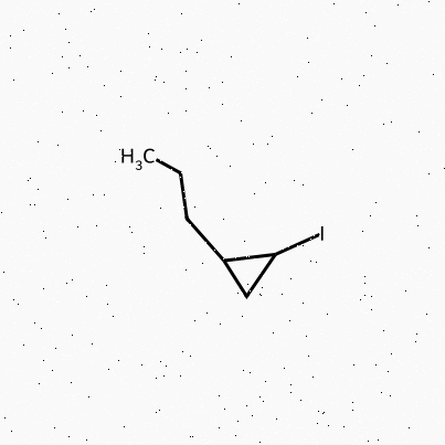 CCCC1CC1I